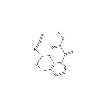 C=C(C(=O)OC)c1cccc2c1CC(N=[N+]=[N-])OC2